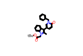 Cc1c(-c2ccc(=O)n(Cc3ccccc3)c2)c2ccccc2n1CC(=O)OC(C)(C)C